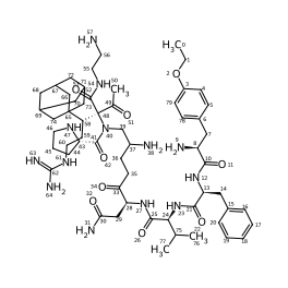 CCOc1ccc(C[C@H](N)C(=O)N[C@@H](Cc2ccccc2)C(=O)N[C@H](C(=O)N[C@@H](CC(N)=O)C(=O)CCC(N)CN(C(=O)[C@@H]2CCCN2)[C@](C(C)=O)(C(=O)NCCN)C(CCNC(=N)N)C23CC4CC(CC(C4)C2)C3)C(C)C)cc1